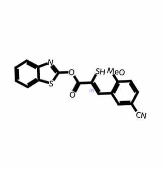 COc1ccc(C#N)cc1/C=C(\S)C(=O)Oc1nc2ccccc2s1